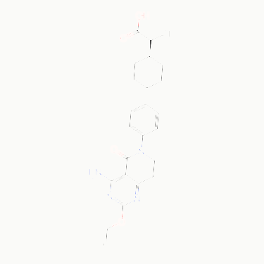 CCOc1nc(N)c2c(n1)CCN(c1ccc([C@H]3CC[C@H](C(C)C(=O)O)CC3)cc1)C2=O